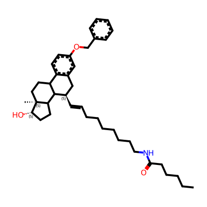 CCCCCC(=O)NCCCCCCCC=C[C@@H]1Cc2cc(OCc3ccccc3)ccc2C2CC[C@@]3(C)C(CC[C@@H]3O)C21